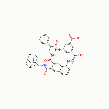 Nc1cccc2cc(C(=O)NCC34CC5CC(CC(C5)C3)C4)c(C(=O)NCC(C(=O)Nc3cc(C(=O)O)cc(C(=O)O)c3)c3ccccc3)cc12